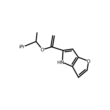 C=C(OC(C)C(C)C)c1cc2occc2[nH]1